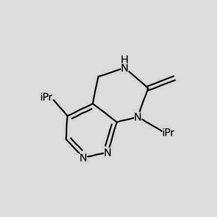 C=C1NCc2c(C(C)C)cnnc2N1C(C)C